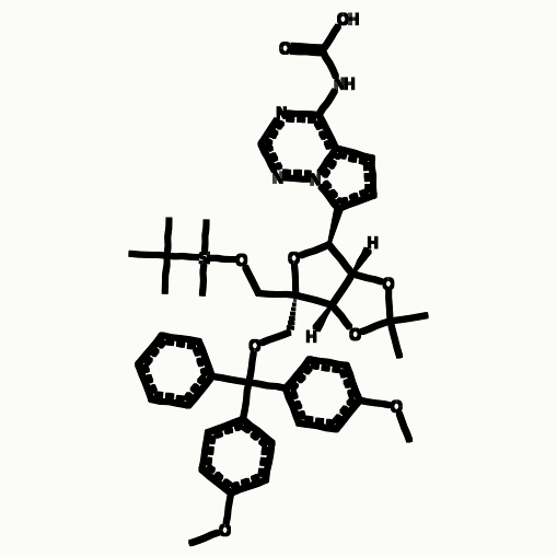 COc1ccc(C(OC[C@]2(CO[Si](C)(C)C(C)(C)C)O[C@@H](c3ccc4c(NC(=O)O)ncnn34)[C@@H]3OC(C)(C)O[C@@H]32)(c2ccccc2)c2ccc(OC)cc2)cc1